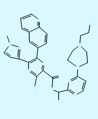 CC(NC(=O)c1nc(-c2ccc3ncccc3c2)c(-c2ccn(C)n2)nc1N)c1nccc(N2CCN(CCO)CC2)n1